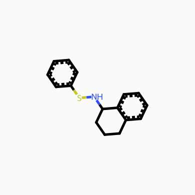 c1ccc(SNC2CCCc3ccccc32)cc1